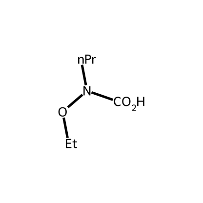 [CH2]CON(CCC)C(=O)O